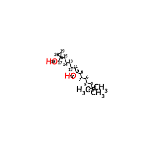 CC(C)(C)CCCCCC(O)CCCCCC1(CO)CC1